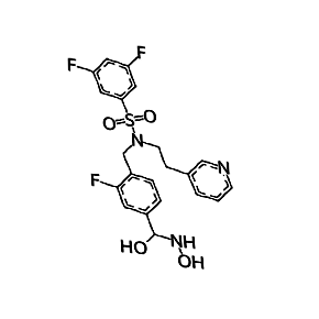 O=S(=O)(c1cc(F)cc(F)c1)N(CCc1cccnc1)Cc1ccc(C(O)NO)cc1F